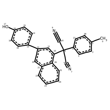 Cc1ccc(C(C#N)(C#N)c2cc(-c3ccc(O)cc3)cc3ccccc23)cc1